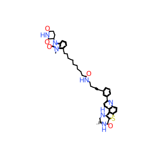 C[C@@H]1CNc2c(sc3ccc4nc(-c5cccc(C#CCCNC(=O)CCCCCCCCCc6cccc7c6n(C)c(=O)n7C6CCC(=O)NC6=O)c5)ccc4c23)C(=O)N1